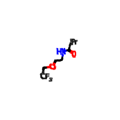 CC(C)C(=O)NCCOCC(F)(F)F